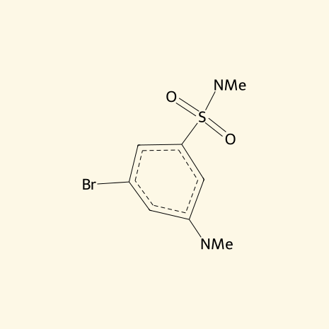 CNc1cc(Br)cc(S(=O)(=O)NC)c1